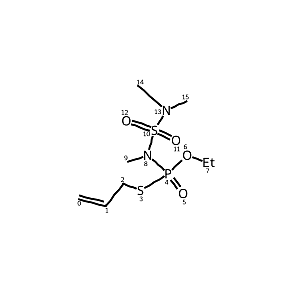 C=CCSP(=O)(OCC)N(C)S(=O)(=O)N(C)C